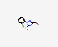 FC(F)(F)c1nc(CBr)nn1-c1ccccc1Cl